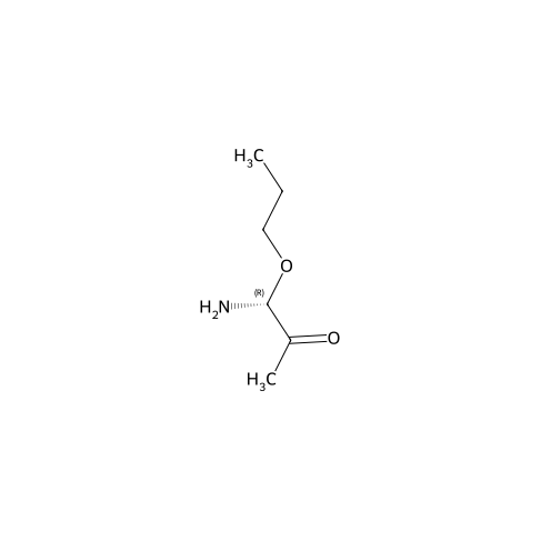 CCCO[C@@H](N)C(C)=O